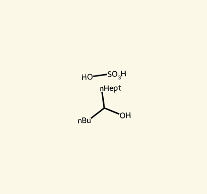 CCCCCCCC(O)CCCC.O=S(=O)(O)O